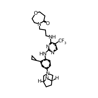 CN1[C@@H]2CC[C@H]1CN(c1ccc(Nc3ncc(C(F)(F)F)c(NCCCN4CCOCCC4=O)n3)c(C3CC3)c1)C2